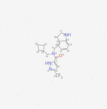 O=C(c1cc(C(F)(F)F)n[nH]1)N(Cc1cccc2c1CCN2)CC1CCC1